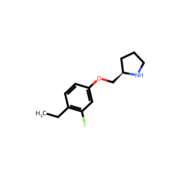 CCc1ccc(OC[C@H]2CCCN2)cc1F